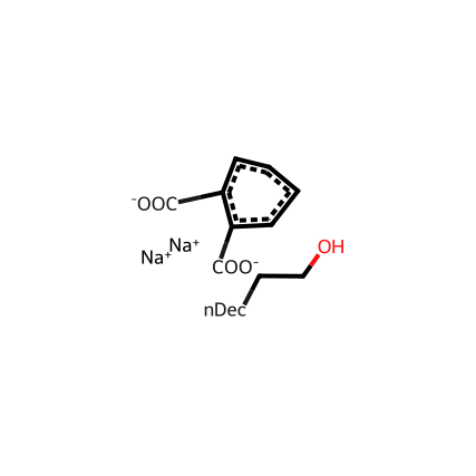 CCCCCCCCCCCCO.O=C([O-])c1ccccc1C(=O)[O-].[Na+].[Na+]